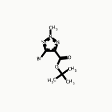 Cn1nc(Br)c(C(=O)OC(C)(C)C)n1